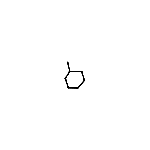 C[C]1CC[CH]CC1